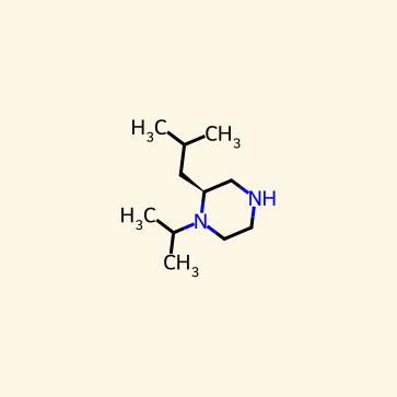 CC(C)C[C@H]1CNCCN1C(C)C